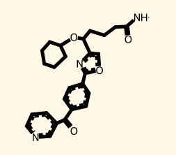 [NH]C(=O)CCCC(OC1CCCCC1)c1coc(-c2ccc(C(=O)c3cccnc3)cc2)n1